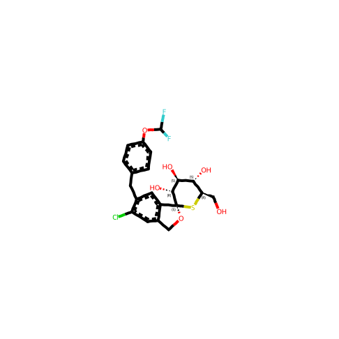 OC[C@H]1S[C@]2(OCc3cc(Cl)c(Cc4ccc(OC(F)F)cc4)cc32)[C@H](O)[C@@H](O)[C@@H]1O